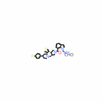 O=CNCn1ccc2cccc(C(=O)N3C[C@@H](CN4CCC(c5ccc(F)cc5)CC4)[C@H](c4ccsc4)C3)c21